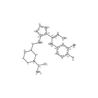 N[S+]([O-])N1CCOC(CNc2nonc2/C(=N/O)Nc2ccc(F)c(Br)c2)C1